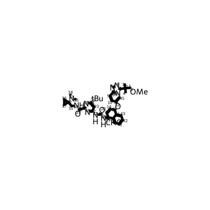 COCC(C)(C)c1nnc2ccc(O[C@@H]3C=C[C@](C=O)(NC(=O)Nc4cc(C(C)(C)C)nc(C(=O)NCC5(N(C)C)CC5)n4)c4ccccc43)cn12